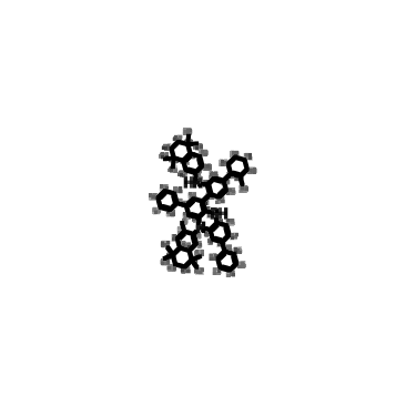 CC1=CC2C(C=C1N1c3cc(-c4ccccc4)ccc3Bc3c(-c4ccc(C5=C(C)CCCC5)cc4Nc4ccc5c(c4)C(C)(C)CCC5(C)C)cc(-c4ccccc4)cc31)C(C)(C)CCC2(C)C